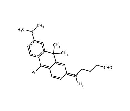 CC(C)C1=C2C=C/C(=[N+](\C)CCCC=O)C=C2C(C)(C)c2cc(N(C)C)ccc21